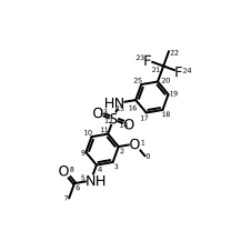 COc1cc(NC(C)=O)ccc1S(=O)(=O)Nc1cccc(C(C)(F)F)c1